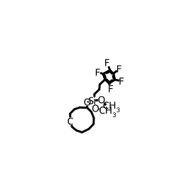 CO[Si](CCCc1c(F)c(F)c(F)c(F)c1F)(OC)OC1CCCCCCCCCCC1